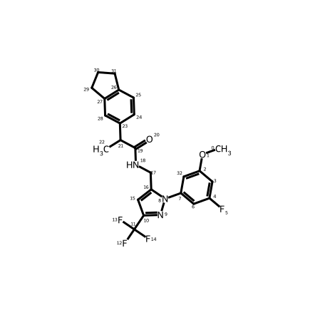 COc1cc(F)cc(-n2nc(C(F)(F)F)cc2CNC(=O)C(C)c2ccc3c(c2)CCC3)c1